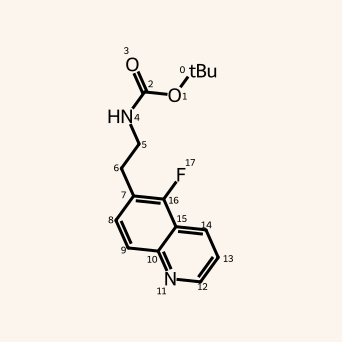 CC(C)(C)OC(=O)NCCc1ccc2ncccc2c1F